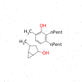 CC1CC(O)C2CC12.CCCCCc1ccc(C)c(O)c1CCCCC